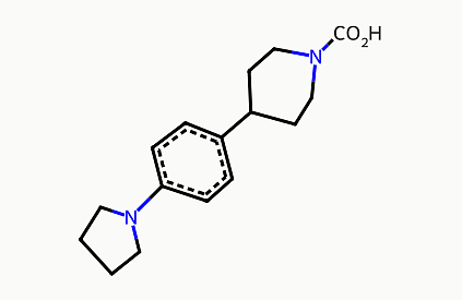 O=C(O)N1CCC(c2ccc(N3CCCC3)cc2)CC1